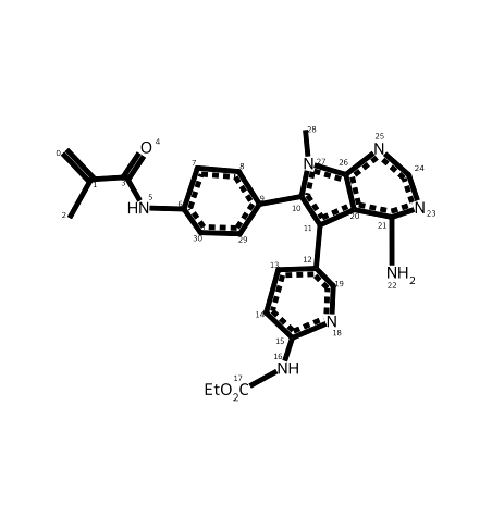 C=C(C)C(=O)Nc1ccc(-c2c(-c3ccc(NC(=O)OCC)nc3)c3c(N)ncnc3n2C)cc1